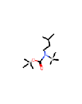 CC(C)CCN(C(=O)O[Si](C)(C)C)[Si](C)(C)C